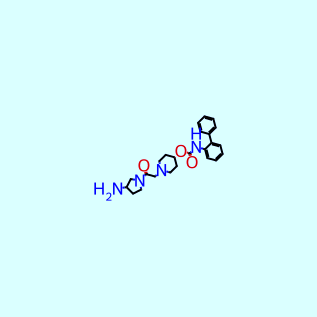 NC1CCN(C(=O)CN2CCC(OC(=O)Nc3ccccc3-c3ccccc3)CC2)C1